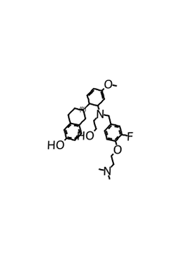 COC1=CC(N(CCO)Cc2ccc(OCCN(C)C)c(F)c2)C([C@@H]2CCc3cc(O)ccc3C2)C=C1